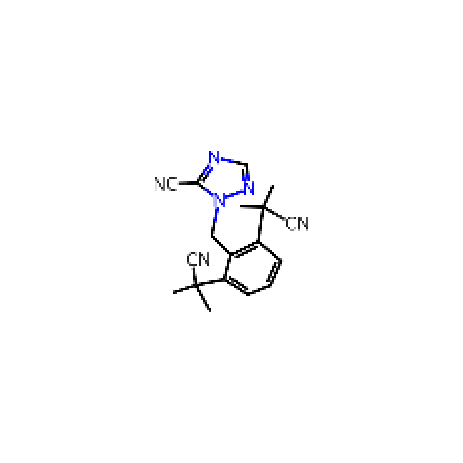 CC(C)(C#N)c1cccc(C(C)(C)C#N)c1Cn1ncnc1C#N